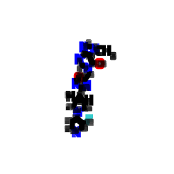 Cn1cnc2ncn(Cc3nc([C@H]4[C@@H]5CN(c6ccncc6F)C[C@@H]54)no3)c(=O)c21